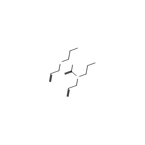 C=CCN(CCC)C(=S)S.C=CCNCCC